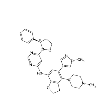 CN1CCN(c2c(-c3cnn(C)c3)cc(Nc3cc(N4OCC[C@@H]4c4ccccc4)ncn3)c3c2CCO3)CC1